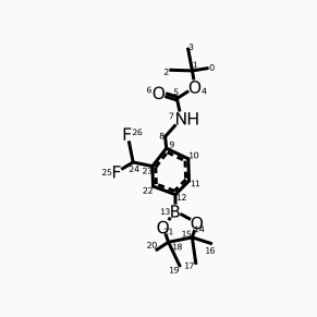 CC(C)(C)OC(=O)NCc1ccc(B2OC(C)(C)C(C)(C)O2)cc1C(F)F